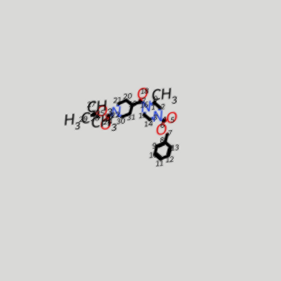 CC1CN(C(=O)OCc2ccccc2)CCN1C(=O)C1CCN(C(=O)OC(C)(C)C)CC1